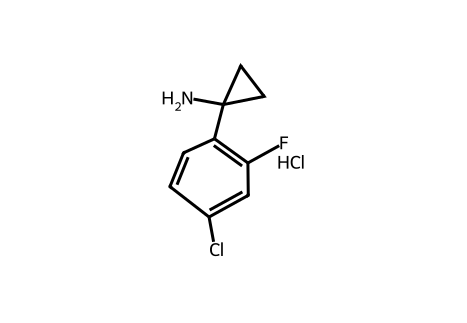 Cl.NC1(c2ccc(Cl)cc2F)CC1